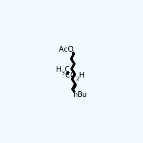 CC(=O)O.CCCCC=CCCCCCCOC(C)=O